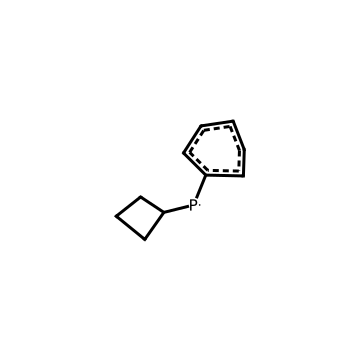 c1ccc([P]C2CCC2)cc1